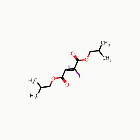 CC(C)COC(=O)/C=C(\I)C(=O)OCC(C)C